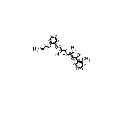 C=CCOc1ccccc1OCC(O)CN/C(C)=C/C(=O)c1cnccc1C